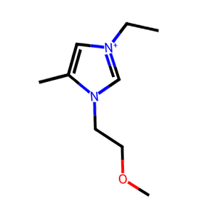 CC[n+]1cc(C)n(CCOC)c1